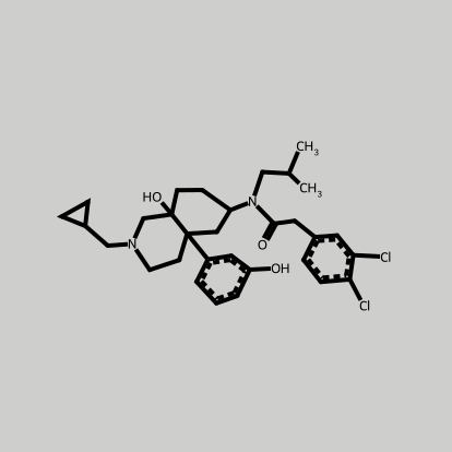 CC(C)CN(C(=O)Cc1ccc(Cl)c(Cl)c1)C1CCC2(O)CN(CC3CC3)CCC2(c2cccc(O)c2)C1